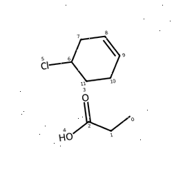 CCC(=O)O.ClC1CC=CCC1